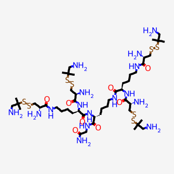 CC(C)(CN)SSC[C@@H](N)C(=O)NCCCC[C@@H](NC(=O)[C@H](N)CSSC(C)(C)CN)C(=O)NCCCC[C@@H](NC(=O)[C@@H](CCCCNC(=O)[C@H](N)CSSC(C)(C)CN)NC(=O)[C@H](N)CSSC(C)(C)CN)C(=O)NCC(N)=O